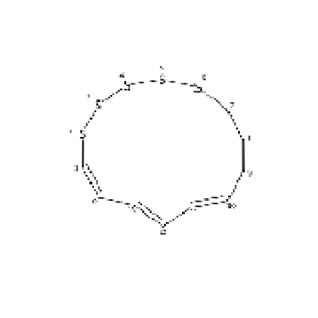 C1=C\SSSSSCCC/C=C/C=C/1